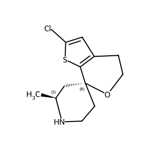 C[C@H]1C[C@@]2(CCN1)OCCc1cc(Cl)sc12